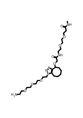 CNC(=O)CCOCCOCCNC(=O)COC1CCCCCc2c1nnn2CCOCCOCCOCCN